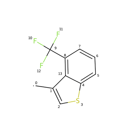 [CH2]c1csc2cccc(C(F)(F)F)c12